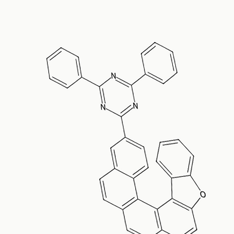 c1ccc(-c2nc(-c3ccccc3)nc(-c3ccc4c(ccc5ccc6ccc7oc8ccccc8c7c6c54)c3)n2)cc1